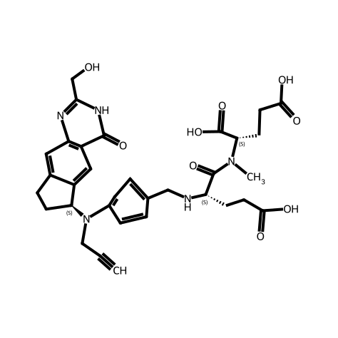 C#CCN(c1ccc(CN[C@@H](CCC(=O)O)C(=O)N(C)[C@@H](CCC(=O)O)C(=O)O)cc1)[C@H]1CCc2cc3nc(CO)[nH]c(=O)c3cc21